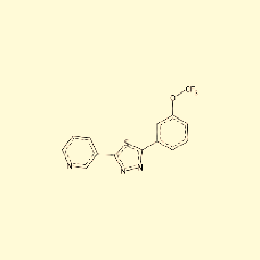 FC(F)(F)Oc1cccc(-c2nnc(-c3cccnc3)s2)c1